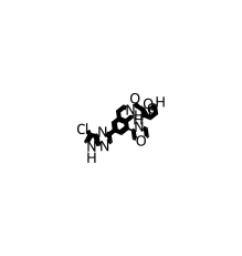 O=C(N1CCc2cc(-c3cnc4[nH]cc(Cl)c4n3)cc([C@@H]3COCCN3)c2C1)N1C[C@@H]2CC[C@H]1CO2